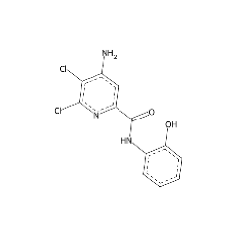 Nc1cc(C(=O)Nc2ccccc2O)nc(Cl)c1Cl